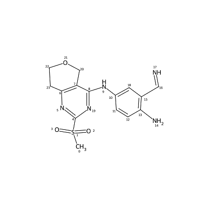 CS(=O)(=O)c1nc2c(c(Nc3ccc(N)c(C=N)c3)n1)COCC2